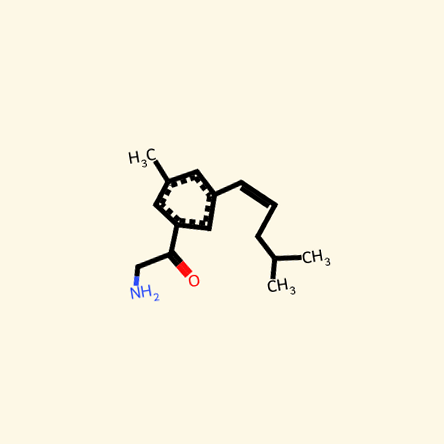 Cc1cc(/C=C\CC(C)C)cc(C(=O)CN)c1